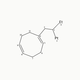 CC[CH]([Pt])CC1=CCCC=CCC1